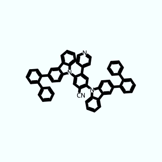 N#Cc1cc(-n2c3ccccc3c3cc(-c4ccccc4-c4ccccc4)ccc32)c(-c2ccncc2)cc1-n1c2ccccc2c2cc(-c3ccccc3-c3ccccc3)ccc21